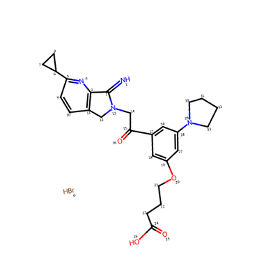 Br.N=C1c2nc(C3CC3)ccc2CN1CC(=O)c1cc(OCCCC(=O)O)cc(N2CCCC2)c1